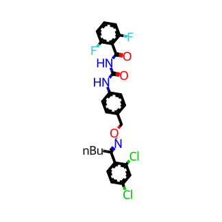 CCCC/C(=N\OCc1ccc(NC(=O)NC(=O)c2c(F)cccc2F)cc1)c1ccc(Cl)cc1Cl